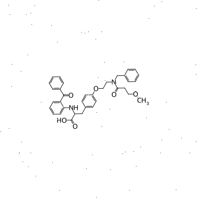 COCCC(=O)N(CCOc1ccc(CC(Nc2ccccc2C(=O)c2ccccc2)C(=O)O)cc1)Cc1ccccc1